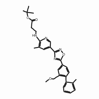 COCc1cc(-c2nc(-c3cnc(NCCC(=O)OC(C)(C)C)c(C)c3)no2)ccc1-c1ccccc1C